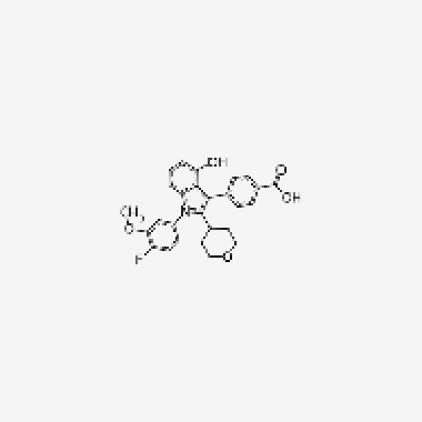 COc1cc(-n2c(C3CCOCC3)c(-c3ccc(C(=O)O)cc3)c3c(O)cccc32)ccc1F